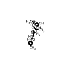 CNC(=O)[C@H]1CC(O)CN1C(=O)C(n1cc(CNC(=O)Nc2ccc(C)cc2)nn1)C(C)(C)C